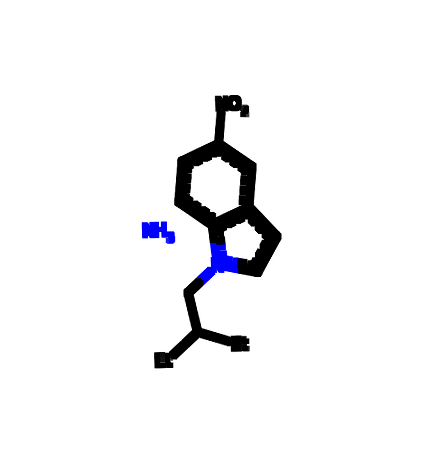 CCC(CC)Cn1ccc2cc([N+](=O)[O-])ccc21.N